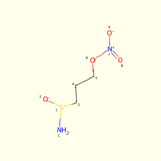 N[S+]([O-])CCCO[N+](=O)[O-]